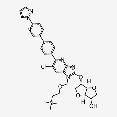 C[Si](C)(C)CCOCn1c(O[C@@H]2CO[C@H]3[C@@H]2OC[C@H]3O)nc2nc(-c3ccc(-c4ccc(-n5cccn5)nc4)cc3)c(Cl)cc21